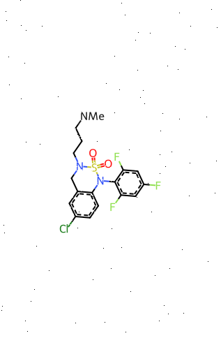 CNCCCN1Cc2cc(Cl)ccc2N(c2c(F)cc(F)cc2F)S1(=O)=O